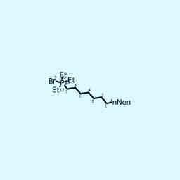 CCCCCCCCCCCCCCCCP(Br)(CC)(CC)CC